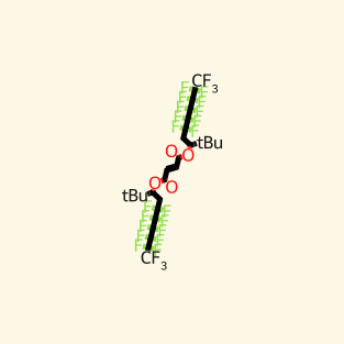 CC(C)(C)C(CC(F)(F)C(F)(F)C(F)(F)C(F)(F)C(F)(F)C(F)(F)F)OC(=O)/C=C/C(=O)OC(CC(F)(F)C(F)(F)C(F)(F)C(F)(F)C(F)(F)C(F)(F)F)C(C)(C)C